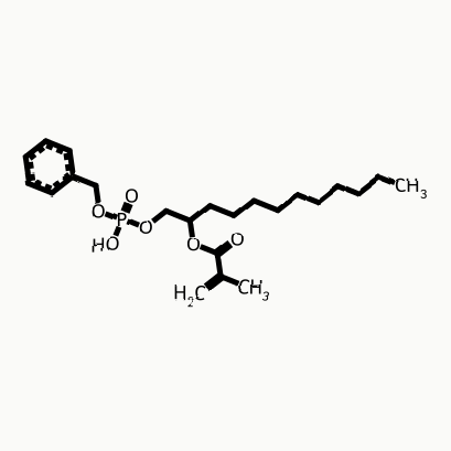 C=C(C)C(=O)OC(CCCCCCCCCC)COP(=O)(O)OCc1ccccc1